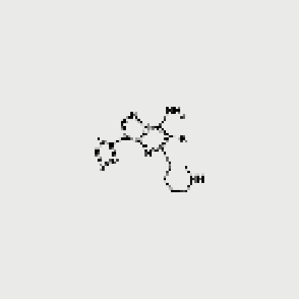 Nc1c(Br)c(C2CCCNC2)nc2c(-c3cscn3)cnn12